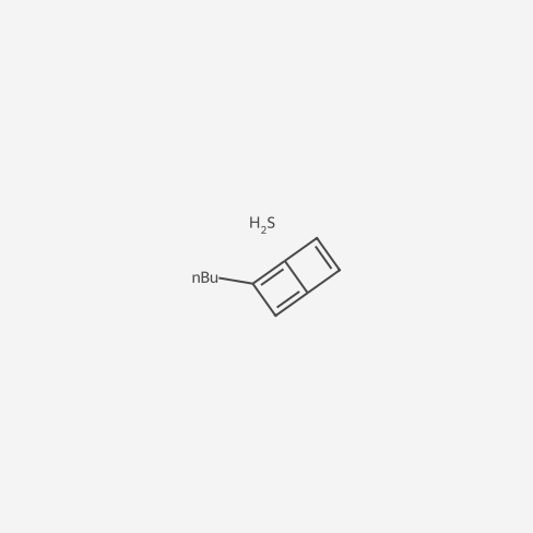 CCCCc1cc2ccc1-2.S